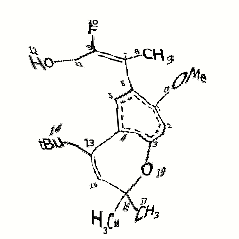 COc1cc2c(cc1/C(C)=C(/F)CO)C(C(C)(C)C)=CC(C)(C)O2